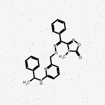 CC(Nc1cccc(CON=C(c2ccccc2)c2noc(=O)n2C)n1)c1ccccc1